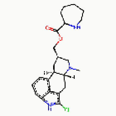 CN1C[C@H](COC(=O)C2CCCCCN2)C[C@@H]2c3cccc4[nH]c(Cl)c(c34)C[C@H]21